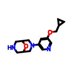 c1ncc(N2CC3CNCC(C2)O3)cc1OCC1CC1